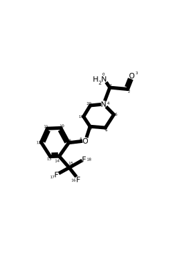 NC(C=O)N1CCC(Oc2ccccc2C(F)(F)F)CC1